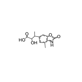 Cc1cc(C(C)C(O)C(=O)O)cc2oc(=O)[nH]c12